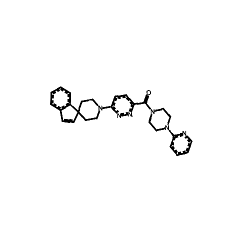 O=C(c1ccc(N2CCC3(C=Cc4ccccc43)CC2)nn1)N1CCN(c2ccccn2)CC1